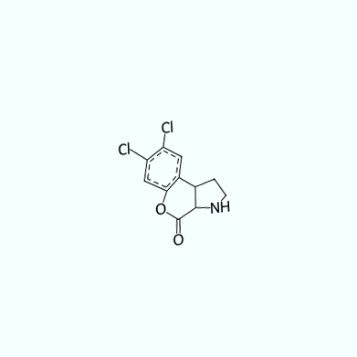 O=C1Oc2cc(Cl)c(Cl)cc2C2CCNC12